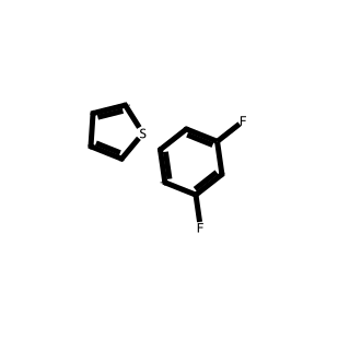 Fc1[c]ccc(F)c1.[c]1cccs1